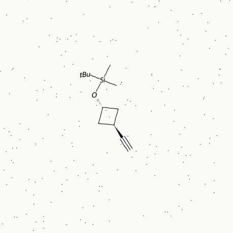 C#C[C@H]1C[C@H](O[Si](C)(C)C(C)(C)C)C1